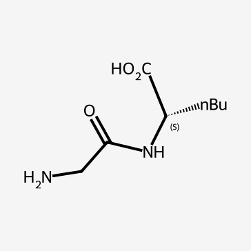 CCCC[C@H](NC(=O)CN)C(=O)O